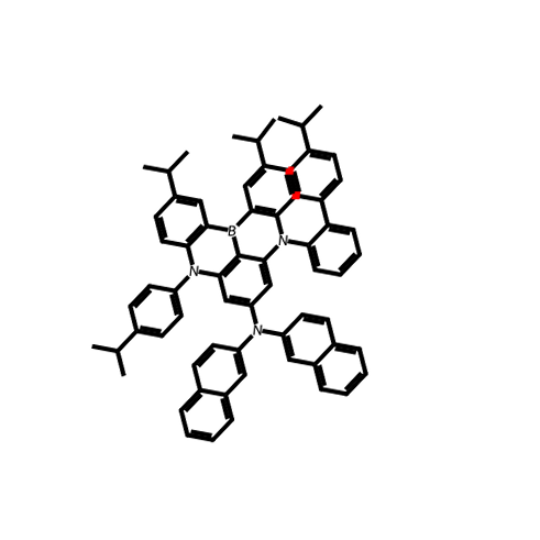 CC(C)c1ccc(-c2ccccc2N2c3ccc(C(C)C)cc3B3c4cc(C(C)C)ccc4N(c4ccc(C(C)C)cc4)c4cc(N(c5ccc6ccccc6c5)c5ccc6ccccc6c5)cc2c43)cc1